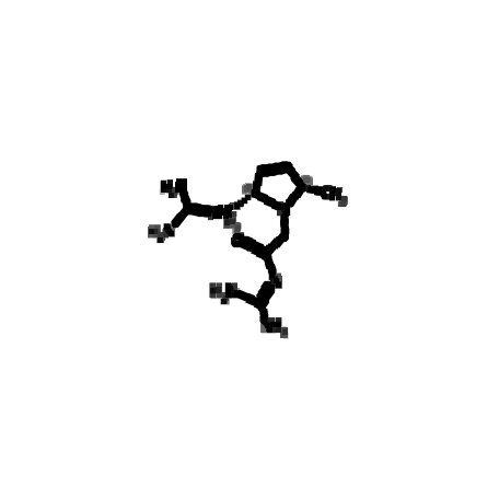 C[C@@H]1C=C[C@@H](C)N1CC(=O)N=C(N)N.N=C(N)N